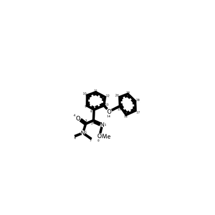 CON=C(C(=O)N(C)C)c1ccccc1Oc1ccccc1